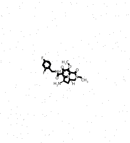 CCN1C[C@H]2C[C@@H](N)c3c(C(=O)NCc4ccc(F)cc4F)c(=O)c(OC)c(n32)C1=O